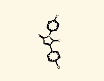 O=C1C=C(c2ccc(Cl)cc2)C(=O)N1c1ccc(Br)cc1